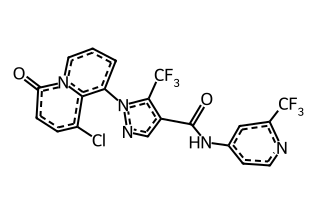 O=C(Nc1ccnc(C(F)(F)F)c1)c1cnn(-c2cccn3c(=O)ccc(Cl)c23)c1C(F)(F)F